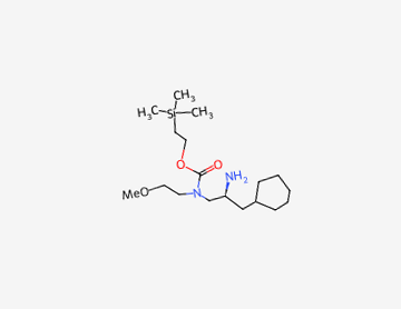 COCCN(C[C@@H](N)CC1CCCCC1)C(=O)OCC[Si](C)(C)C